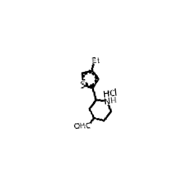 CCc1csc(C2CC(C=O)CCN2)c1.Cl